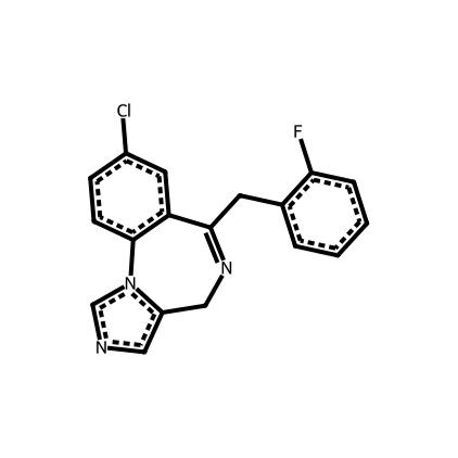 Fc1ccccc1CC1=NCc2cncn2-c2ccc(Cl)cc21